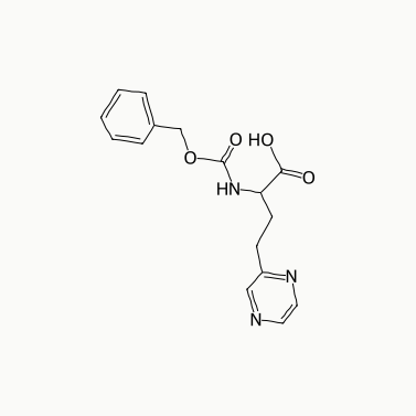 O=C(NC(CCc1cnccn1)C(=O)O)OCc1ccccc1